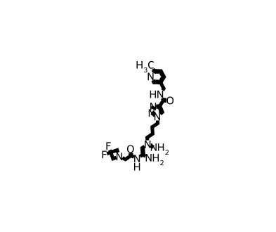 Cc1ccc(CNC(=O)c2cn(CCCCN(N)/C=C(\N)NC(=O)CN3CC(F)(F)C3)nn2)cn1